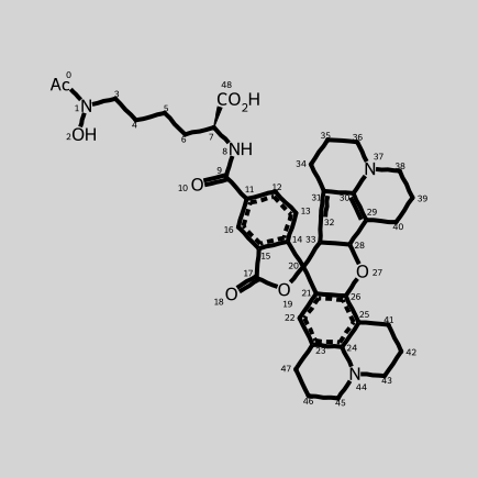 CC(=O)N(O)CCCC[C@H](NC(=O)c1ccc2c(c1)C(=O)OC21c2cc3c4c(c2OC2C5=C6C(=CC21)CCCN6CCC5)CCCN4CCC3)C(=O)O